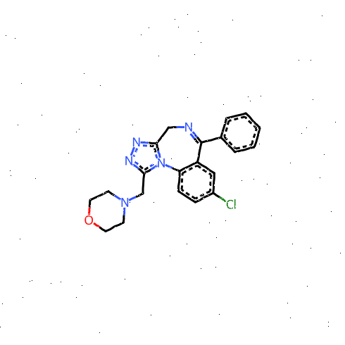 Clc1ccc2c(c1)C(c1ccccc1)=NCc1nnc(CN3CCOCC3)n1-2